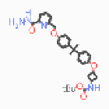 CC(C)(C)OC(=O)NC1CC(Oc2ccc(C(C)(C)c3ccc(OCc4cccc(C(=O)NN)n4)cc3)cc2)C1